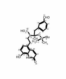 CC(C)(C)[Si](C)(C)O[C@](C)(Cc1cccc(C=O)c1)N(CCc1ccc(O)c2[nH]c(=O)ccc12)C(=O)O